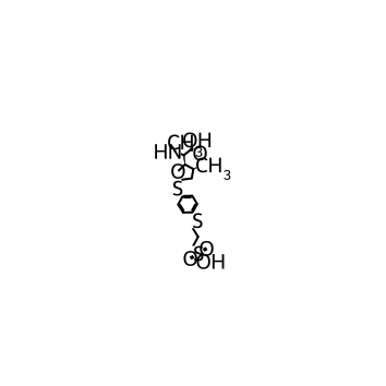 CNC(C(=O)O)[C@@H]1OC(Sc2ccc(SCCCS(=O)(=O)O)cc2)C[C@H]1C